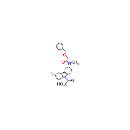 CCC(C(=O)O)n1c2c(c3cc(F)ccc31)C[C@@H](N(C)C(=O)COCc1ccccc1)CC2